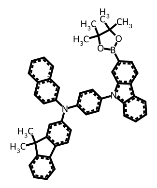 CC1(C)c2ccccc2-c2ccc(N(c3ccc(-n4c5ccccc5c5ccc(B6OC(C)(C)C(C)(C)O6)cc54)cc3)c3ccc4ccccc4c3)cc21